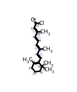 CC1=C(/C=C/C(C)=C/C=C/C(C)=C/C(=O)Cl)C(C)(C)CCC1